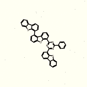 c1ccc(-c2nc(-c3cccc4c3oc3cccc(-c5cccc6c5sc5ccccc56)c34)nc(-c3cccc4c3sc3ccccc34)n2)cc1